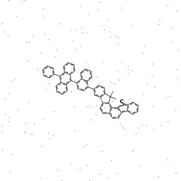 CC1(C)c2ccc(-c3ccc(-c4c5ccccc5c(-c5ccccc5)c5ccccc45)c4ccccc34)cc2-c2ccc3ccc4c5ccccc5sc4c3c21